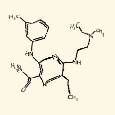 CCc1nc(C(N)=O)c(Nc2cccc(C)c2)nc1NCCN(C)C